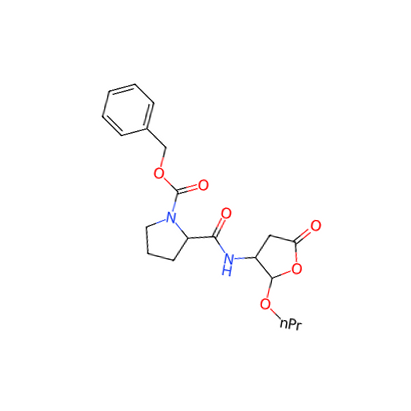 CCCOC1OC(=O)CC1NC(=O)C1CCCN1C(=O)OCc1ccccc1